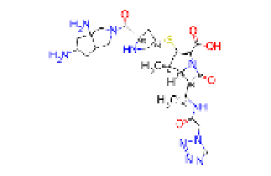 C[C@@H](NC(=O)Cn1cnnn1)[C@H]1C(=O)N2C(C(=O)O)=C(S[C@@H]3CN[C@H](C(=O)N4CC5CC(N)CC5(N)C4)C3)[C@H](C)[C@H]12